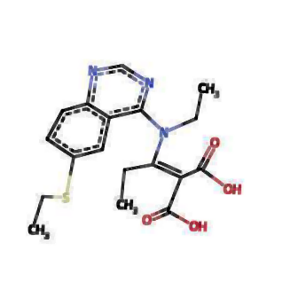 CCSc1ccc2ncnc(N(CC)C(CC)=C(C(=O)O)C(=O)O)c2c1